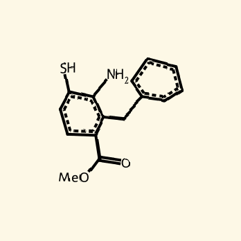 COC(=O)c1ccc(S)c(N)c1Cc1ccccc1